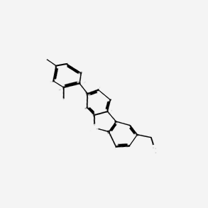 NCc1ccc2oc3cc(-c4ccc(F)cc4F)ccc3c2c1